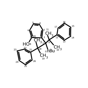 CCCCC(c1ccccc1O)(C(C)(C)c1ccccc1)C(C)(C)c1ccccc1